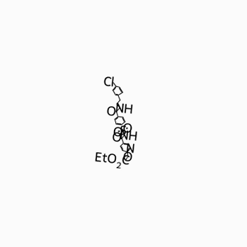 CCOC(=O)Oc1ccc(C(=O)NS(=O)(=O)c2ccc(C(=O)NCCc3ccc(Cl)cc3)cc2)cn1